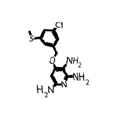 CSc1cc(Cl)cc(COc2cc(N)nc(N)c2N)c1